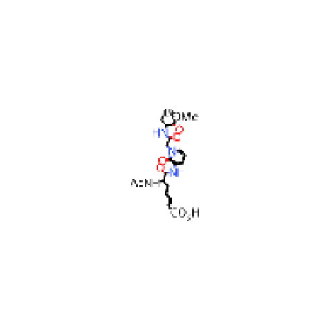 CCC(C)C[C@H](NC(=O)Cn1cccc(NC(=O)C(CCC=CC(=O)O)NC(C)=O)c1=O)C(=O)OC